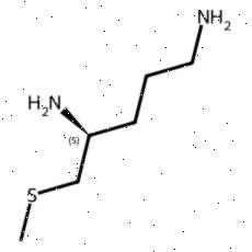 CSC[C@@H](N)CCCN